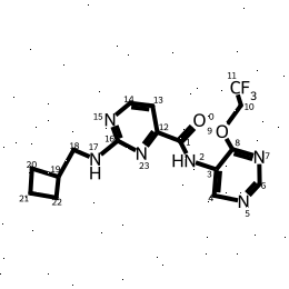 O=C(Nc1cncnc1OCC(F)(F)F)c1ccnc(NCC2CCC2)n1